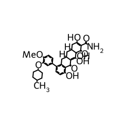 COc1ccc(-c2ccc(O)c3c2C[C@@H]2C[C@@H]4CC(O)=C(C(N)=O)C(=O)[C@]4(O)C(O)=C2C3=O)cc1OC1CCC(C)CC1